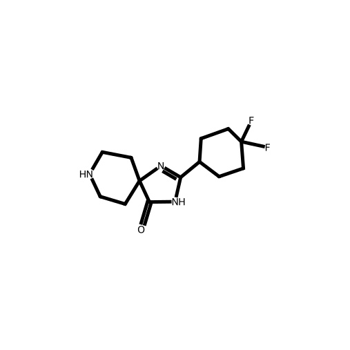 O=C1NC(C2CCC(F)(F)CC2)=NC12CCNCC2